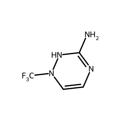 NC1=NC=CN(C(F)(F)F)N1